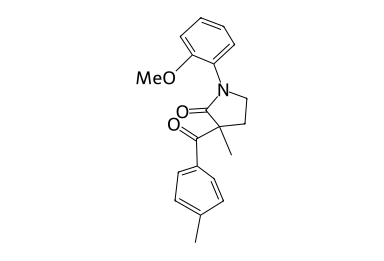 COc1ccccc1N1CCC(C)(C(=O)c2ccc(C)cc2)C1=O